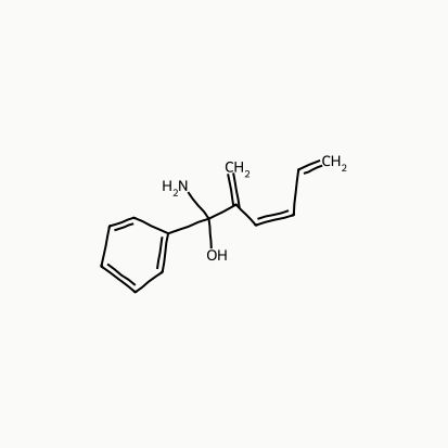 C=C/C=C\C(=C)C(N)(O)c1ccccc1